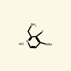 CNc1ccnc(CN)c1F.Cl